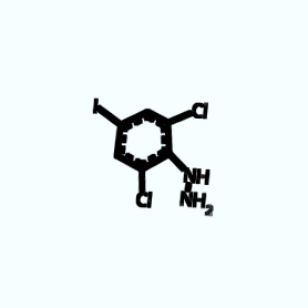 NNc1c(Cl)cc(I)cc1Cl